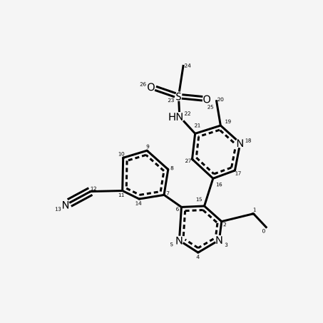 CCc1ncnc(-c2cccc(C#N)c2)c1-c1cnc(C)c(NS(C)(=O)=O)c1